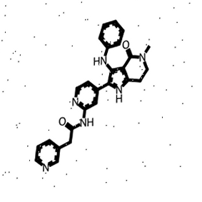 CN1CCc2[nH]c(-c3ccnc(NC(=O)Cc4cccnc4)c3)c(Nc3ccccc3)c2C1=O